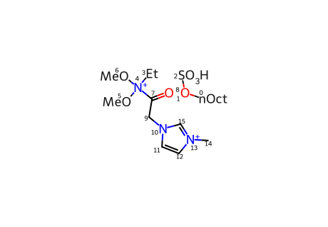 CCCCCCCCOS(=O)(=O)O.CC[N+](OC)(OC)C(=O)Cn1cc[n+](C)c1